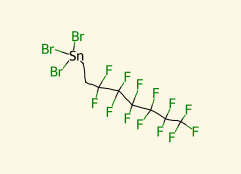 FC(F)(F)C(F)(F)C(F)(F)C(F)(F)C(F)(F)C(F)(F)C[CH2][Sn]([Br])([Br])[Br]